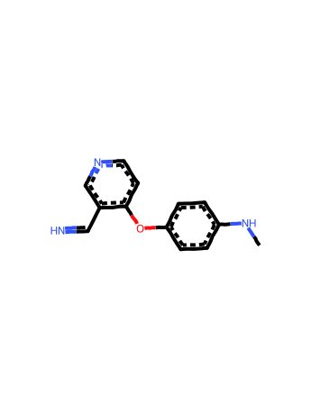 CNc1ccc(Oc2ccncc2C=N)cc1